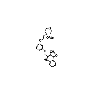 COC1(CCOc2cccc(OCc3[nH]c4ccccc4c(=O)c3C)c2)CCOCC1